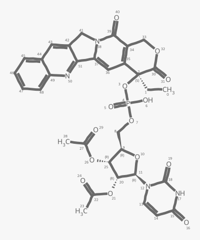 CC[C@@]1(OP(=O)(O)OC[C@H]2O[C@@H](n3ccc(=O)[nH]c3=O)[C@H](OC(C)=O)[C@@H]2OC(C)=O)C(=O)OCc2c1cc1n(c2=O)Cc2cc3ccccc3nc2-1